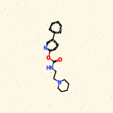 O=C(NCCN1CCCCC1)Oc1ccc(-c2ccccc2)cn1